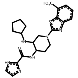 O=C(NC1CCN(c2nc3cccc(C(=O)O)c3s2)CC1NC1CCCC1)c1ncc[nH]1